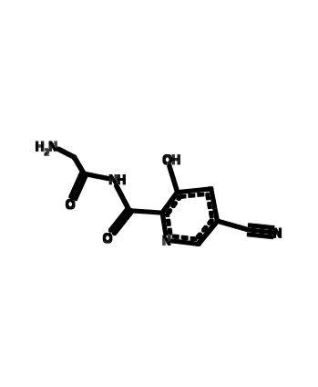 N#Cc1cnc(C(=O)NC(=O)CN)c(O)c1